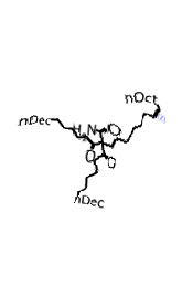 CCCCCCCC/C=C\CCCCCCC(C(N)=O)(C(=O)CCCCCCCCCCCCCCC)C(=O)CCCCCCCCCCCCCCC